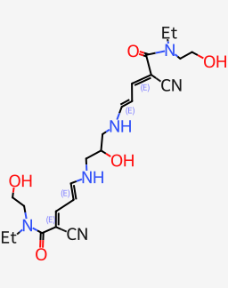 CCN(CCO)C(=O)/C(C#N)=C/C=C/NCC(O)CN/C=C/C=C(\C#N)C(=O)N(CC)CCO